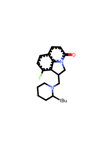 CC(C)(C)C1C[CH]CCN1CC1Cn2c(=O)ccc3ccc(F)c1c32